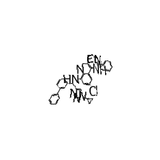 CC[C@@H](Nc1c(C#N)cnc2c(NC(c3cccc(-c4ccccc4)c3)c3cn(C4CC4)nn3)cc(Cl)cc12)c1ccccc1